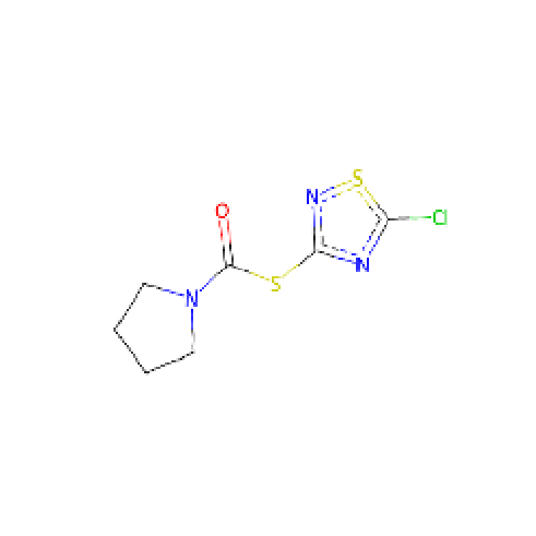 O=C(Sc1nsc(Cl)n1)N1CCCC1